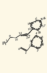 C=Cc1ccccc1.CC(C)CCC=Cc1ccccc1